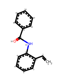 C=Cc1ccccc1NC(=O)c1ccccc1